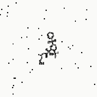 CC(CCO)CNS(=O)(=O)c1cc(S(=O)(=O)c2ccccc2)ccc1C(F)(F)F